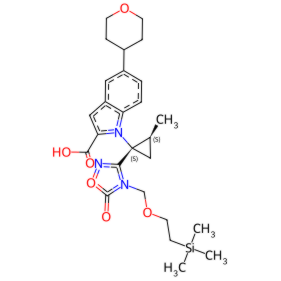 C[C@H]1C[C@]1(c1noc(=O)n1COCC[Si](C)(C)C)n1c(C(=O)O)cc2cc(C3CCOCC3)ccc21